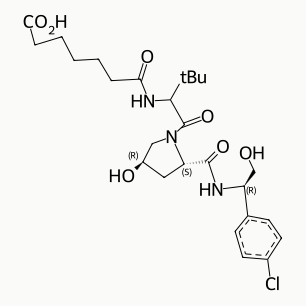 CC(C)(C)C(NC(=O)CCCCCC(=O)O)C(=O)N1C[C@H](O)C[C@H]1C(=O)N[C@@H](CO)c1ccc(Cl)cc1